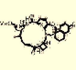 COCC[C@@H]1C(C)C/C=C/C(=O)[C@@H]2CC[C@H]2CN2C[C@@]3(CCCc4cc(Cl)ccc43)COc3ccc(nc32)C(=O)NS1(=O)=O